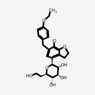 CCOc1ccc(Cc2cc([C@@H]3O[C@H](CCO)[C@@H](O)[C@@H](O)[C@H]3O)c3c(c2Cl)OCC3)cc1